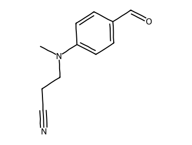 CN(CCC#N)c1ccc(C=O)cc1